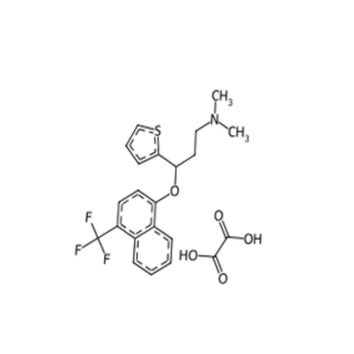 CN(C)CCC(Oc1ccc(C(F)(F)F)c2ccccc12)c1cccs1.O=C(O)C(=O)O